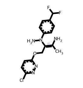 C/C(N)=C(\COc1ccc(Cl)nn1)N(N)c1ccc(C(F)F)cc1